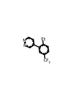 CCc1ccc(C(F)(F)F)cc1-c1ccnnc1